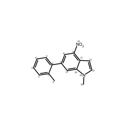 Cc1ccccc1-c1cc([N+](=O)[O-])c2ccn(C)c2c1